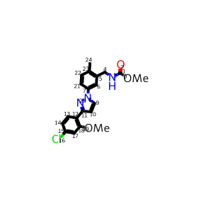 COC(=O)NCc1cc(-n2ccc(-c3ccc(Cl)cc3OC)n2)ccc1C